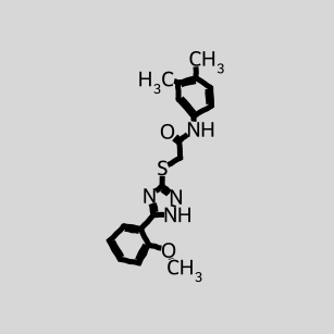 COc1ccccc1-c1nc(SCC(=O)Nc2ccc(C)c(C)c2)n[nH]1